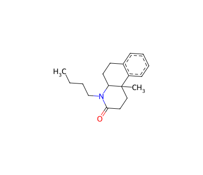 CCCCN1C(=O)CCC2(C)c3ccccc3CCC12